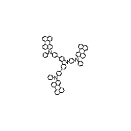 c1ccc(N(c2ccc(-c3ccc4c(c3)c3cc(-c5ccc(N(c6ccccc6)c6ccc7c8cccc9cccc(c%10cccc6c%107)c98)cc5)ccc3n4-c3ccc(N(c4ccccc4)c4ccc5c6cccc7cccc(c8cccc4c85)c76)cc3)cc2)c2ccc3c4cccc5cccc(c6cccc2c63)c54)cc1